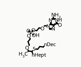 CCCCCCCCCCCCCSC(CCCCCCC)C(C)OCCCOP(=O)(O)OCCOCn1cnc2c(=O)[nH]c(N)nc21